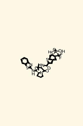 CC(C)(C)[C@H](NC(=O)c1cc2cc(C(F)(F)P(=O)(O)O)ccc2s1)C(=O)N1CCC[C@H]1C(=O)Nc1nc2ccccc2s1